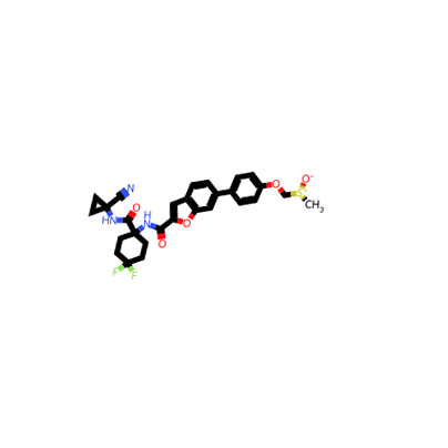 C[S+]([O-])COc1ccc(-c2ccc3cc(C(=O)NC4(C(=O)NC5(C#N)CC5)CCC(F)(F)CC4)oc3c2)cc1